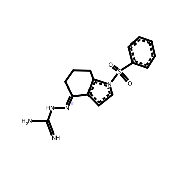 N=C(N)N/N=C1\CCCc2c1ccn2S(=O)(=O)c1ccccc1